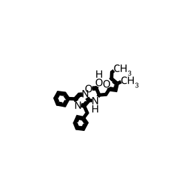 CCc1oc(CC(Nc2ncc(-c3ccccc3)nc2Cc2ccccc2)C(=O)O)cc1C